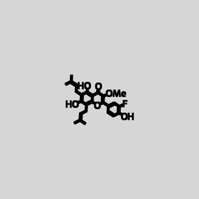 COc1c(-c2ccc(O)c(F)c2)oc2c(CC=C(C)C)c(O)c(CC=C(C)C)c(O)c2c1=O